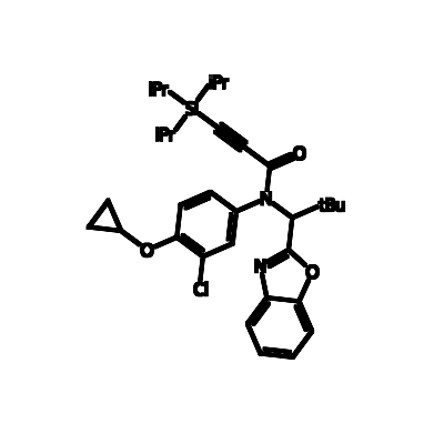 CC(C)[Si](C#CC(=O)N(c1ccc(OC2CC2)c(Cl)c1)C(c1nc2ccccc2o1)C(C)(C)C)(C(C)C)C(C)C